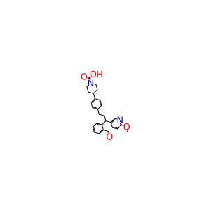 COc1ccc(C(CCc2ccc(C3CCN(C(=O)O)CC3)cc2)c2ccccc2C=O)cn1